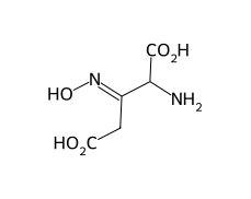 NC(C(=O)O)C(CC(=O)O)=NO